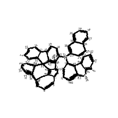 CCc1ccc2cccc3c2c1C1(c2ccccc2-c2ccc(N(c4ccc5ccccc5c4)c4cccc5sc6ccccc6c45)cc21)c1ccccc1-3